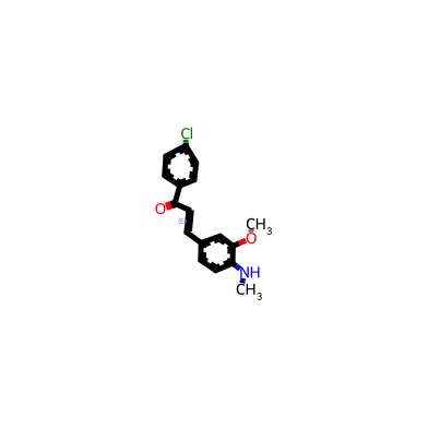 CNc1ccc(/C=C/C(=O)c2ccc(Cl)cc2)cc1OC